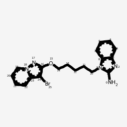 Nc1nc2ccccc2n1CCCCCOc1nn2ccccc2c1Br